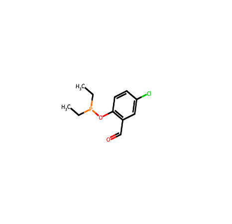 CCP(CC)Oc1ccc(Cl)cc1C=O